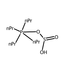 CCCP(CCC)(CCC)(CCC)OS(=O)O